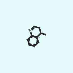 CC1CC=Nc2ccccc21